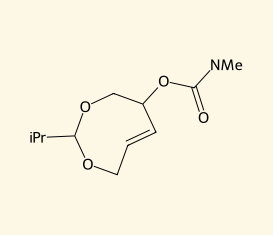 CNC(=O)OC1/C=C/COC(C(C)C)OC1